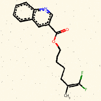 CC(CCCCOC(=O)c1cnc2ccccc2c1)=C(F)F